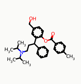 Cc1ccc(C(=O)Oc2ccc(CO)cc2C(CCN(C(C)C)C(C)C)c2ccccc2)cc1